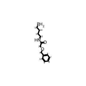 O=C(COCc1ccccc1)NCCCCP